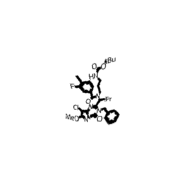 COc1nn2c(=O)n(Cc3ccccc3)c(C(C(C)C)N(CCCNC(=O)OC(C)(C)C)C(=O)c3ccc(C)c(F)c3)nc2c1Cl